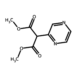 COC(=O)C(C(=O)OC)c1cnccn1